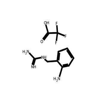 N=C(N)NCc1ccccc1N.O=C(O)C(F)(F)F